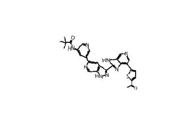 CC(=O)c1ccc(-c2cncc3[nH]c(-c4n[nH]c5cnc(-c6cncc(NC(=O)C(C)(C)C)c6)cc45)nc23)s1